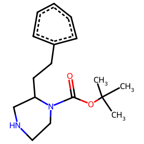 CC(C)(C)OC(=O)N1CCNCC1CCc1ccccc1